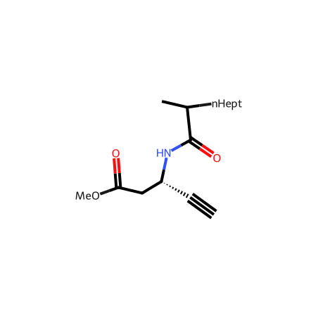 C#C[C@H](CC(=O)OC)NC(=O)C(C)CCCCCCC